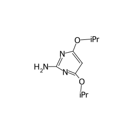 CC(C)Oc1cc(OC(C)C)nc(N)n1